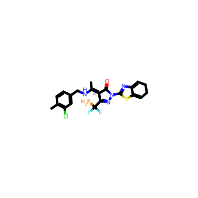 C/C(NCc1ccc(C)c(Cl)c1)=C1\C(=O)N(c2nc3c(s2)=CCCC=3)N=C1C(F)(F)P